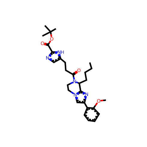 CCCCC1c2nc(-c3ccccc3OC)cn2CCN1C(=O)CCc1cnc(C(=O)OC(C)(C)C)[nH]1